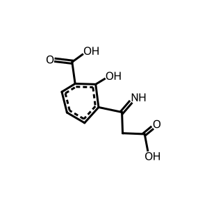 N=C(CC(=O)O)c1cccc(C(=O)O)c1O